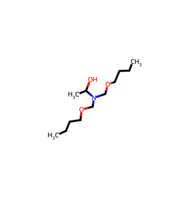 CCCCOCN(COCCCC)C(C)O